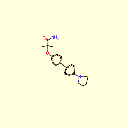 CC(C)(Oc1ccc(-c2ccc(N3CCCCC3)cc2)cc1)C(N)=O